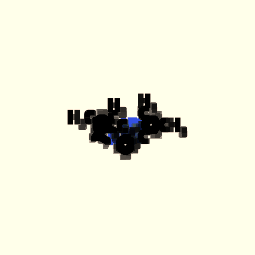 Cc1ccc(CN(CC2CC2)c2cccc3nc(Nc4c(C)cc(C)cc4C)n(C)c23)c(C)c1